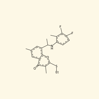 CCSc1oc2c(C(C)Nc3ccc(F)c(F)c3C)cc(C)cc2c(=O)c1C